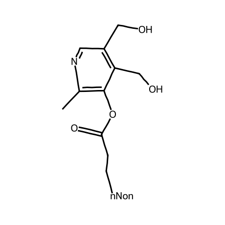 CCCCCCCCCCCC(=O)Oc1c(C)ncc(CO)c1CO